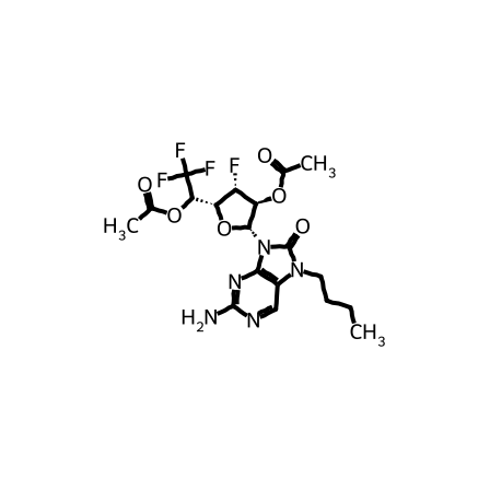 CCCCn1c(=O)n([C@@H]2O[C@H](C(OC(C)=O)C(F)(F)F)[C@H](F)[C@H]2OC(C)=O)c2nc(N)ncc21